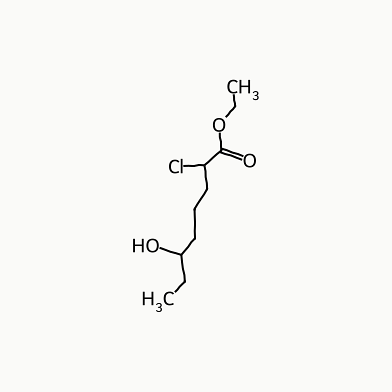 CCOC(=O)C(Cl)CCCC(O)CC